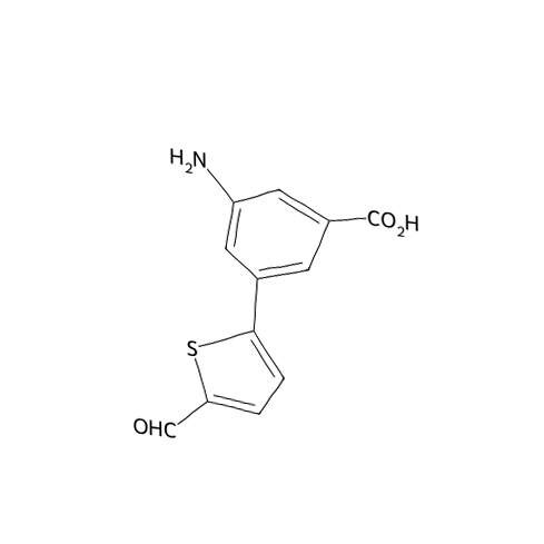 Nc1cc(C(=O)O)cc(-c2ccc(C=O)s2)c1